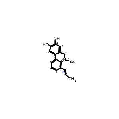 C/C=C/c1cccc2c1N(CCCC)Cc1cc(O)c(O)cc1-2